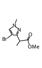 COC(=O)C(C)c1nn(C)cc1Br